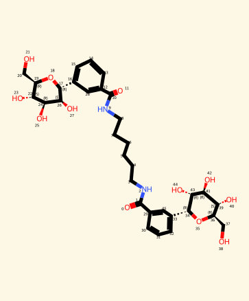 O=C(NCCCCCCNC(=O)c1cccc([C@H]2O[C@H](CO)[C@@H](O)[C@H](O)[C@@H]2O)c1)c1cccc([C@H]2O[C@H](CO)[C@@H](O)[C@H](O)[C@H]2O)c1